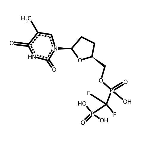 Cc1cn([C@H]2CC[C@@H](COP(=O)(O)C(F)(F)P(=O)(O)O)O2)c(=O)[nH]c1=O